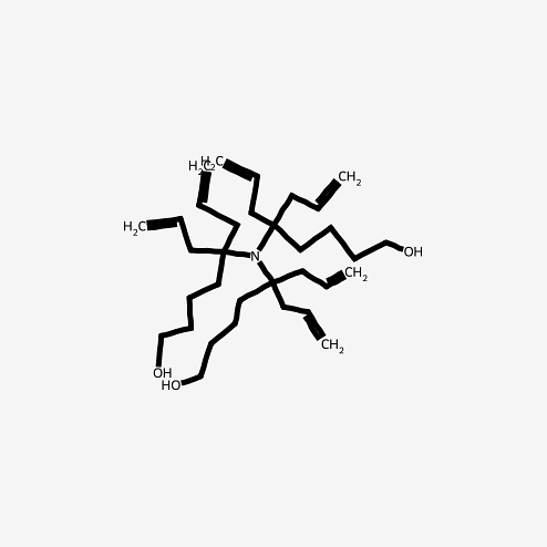 C=CCC(CC=C)(CCCCO)N(C(CC=C)(CC=C)CCCCO)C(CC=C)(CC=C)CCCCO